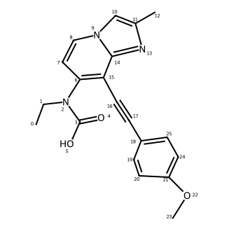 CCN(C(=O)O)c1ccn2cc(C)nc2c1C#Cc1ccc(OC)cc1